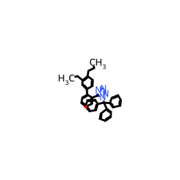 CCCc1ccc(-c2ccccc2-c2nnnn2C(c2ccccc2)(c2ccccc2)c2ccccc2)cc1CC